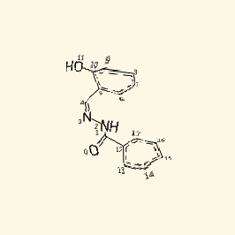 O=C(N/N=C\c1ccccc1O)c1ccccc1